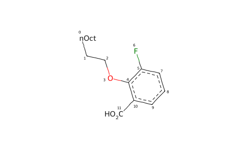 CCCCCCCCCCOc1c(F)cccc1C(=O)O